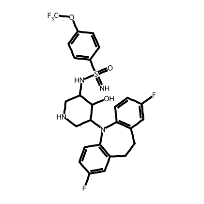 N=S(=O)(NC1CNCC(N2c3ccc(F)cc3CCc3cc(F)ccc32)C1O)c1ccc(OC(F)(F)F)cc1